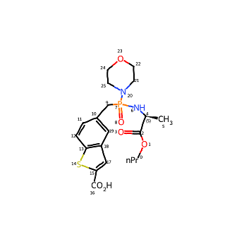 CCCOC(=O)[C@H](C)NP(=O)(Cc1ccc2sc(C(=O)O)cc2c1)N1CCOCC1